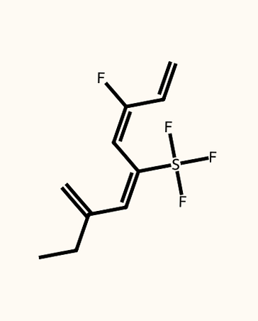 C=C/C(F)=C\C(=C/C(=C)CC)S(F)(F)F